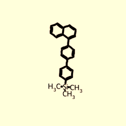 C[Si](C)(C)c1ccc(-c2ccc(-c3cccc4ccccc34)cc2)cc1